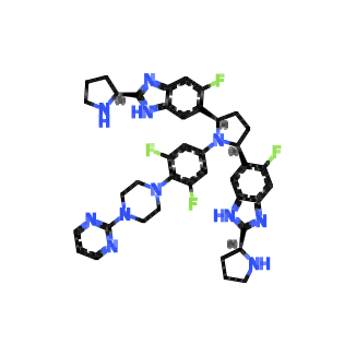 Fc1cc2nc([C@@H]3CCCN3)[nH]c2cc1[C@H]1CC[C@@H](c2cc3[nH]c([C@@H]4CCCN4)nc3cc2F)N1c1cc(F)c(N2CCN(c3ncccn3)CC2)c(F)c1